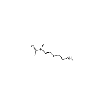 CC(=O)N(C)CCOCCN